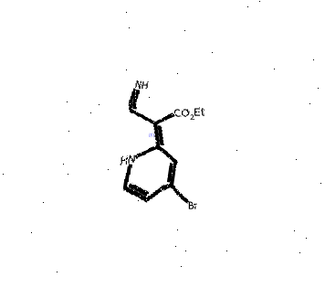 CCOC(=O)/C(C=N)=C1\C=C(Br)C=CN1